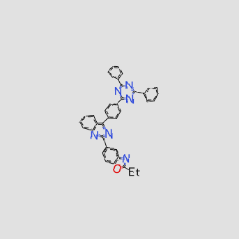 CCc1nc2cc(-c3nc(-c4ccc(-c5nc(-c6ccccc6)nc(-c6ccccc6)n5)cc4)c4ccccc4n3)ccc2o1